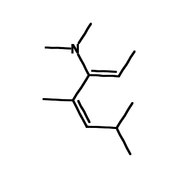 C/C=C(/C(C)=C\C(C)C)N(C)C